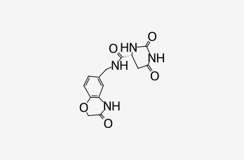 O=C1C[C@H](C(=O)NCc2ccc3c(c2)NC(=O)CO3)NC(=O)N1